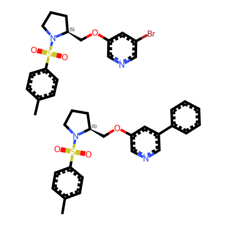 Cc1ccc(S(=O)(=O)N2CCC[C@H]2COc2cncc(-c3ccccc3)c2)cc1.Cc1ccc(S(=O)(=O)N2CCC[C@H]2COc2cncc(Br)c2)cc1